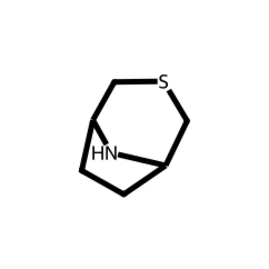 C1CC2CSCC1N2